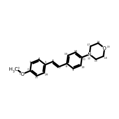 COc1ccc(C=Cc2ccc(N3CCOCC3)cc2)cc1